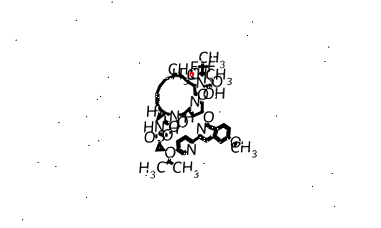 COc1ccc2c(O[C@@H]3C[C@H]4C(=O)N[C@]5(C(=O)NS(=O)(=O)C6CC6)C[C@H]5/C=C\CC[C@@H](C)C[C@@H](C)[C@H](N(C(=O)O)C(C)(C)C(C)(F)F)C(=O)N4C3)nc(-c3ccc(OC(C)C)cn3)cc2c1